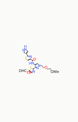 COCCOCCn1cc(NC(=O)c2csc(-c3cn[nH]c3)n2)c(-c2nccs2)n1.O=CO